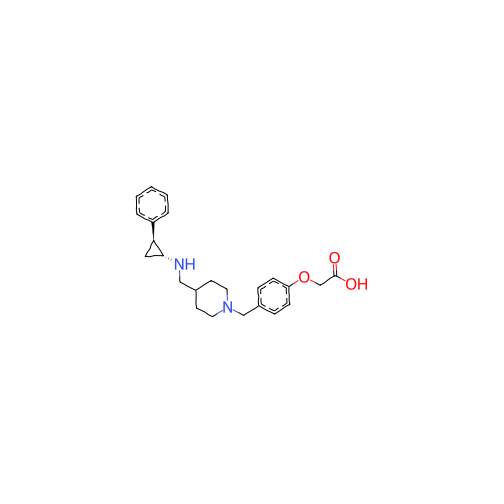 O=C(O)COc1ccc(CN2CCC(CN[C@@H]3C[C@H]3c3ccccc3)CC2)cc1